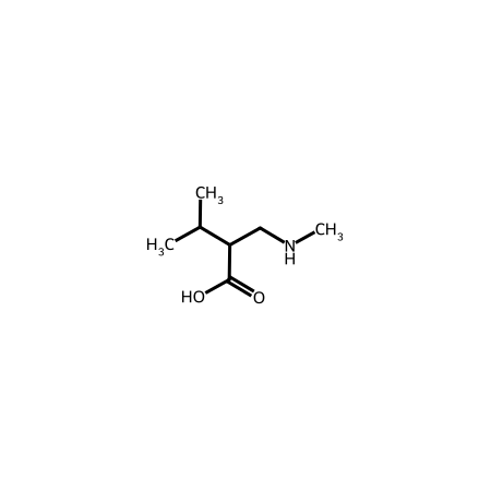 CNCC(C(=O)O)C(C)C